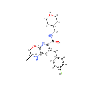 C[C@H]1COc2nc(C(=O)NCC3CCOCC3)c(Cc3ccc(F)cc3)cc2N1